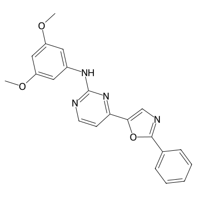 COc1cc(Nc2nccc(-c3cnc(-c4ccccc4)o3)n2)cc(OC)c1